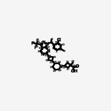 Cc1ccc(C(C)n2nc(C(F)(F)F)c3cnc(N4CC(C5CCCN(C6CC(C)(C(=O)O)C6)C5)C4)nc32)c(Cl)c1